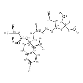 COCC(C)(COC)CN(CCF)CCCN(C)CC[C@@]1(OC(=O)CC(F)(F)F)CCc2cc(F)ccc2[C@@H]1C(C)C